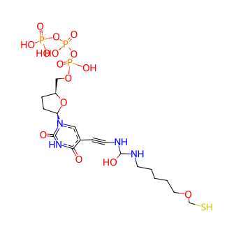 O=c1[nH]c(=O)n([C@H]2CC[C@@H](COP(=O)(O)OP(=O)(O)OP(=O)(O)O)O2)cc1C#CNC(O)NCCCCCOCS